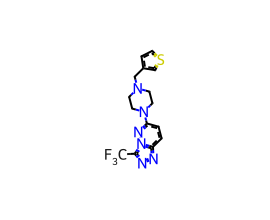 FC(F)(F)c1nnc2ccc(N3CCN(Cc4ccsc4)CC3)nn12